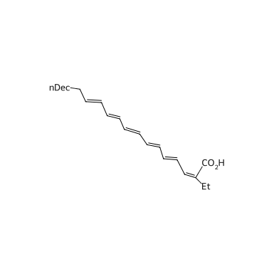 CCCCCCCCCCCC=CC=CC=CC=CC=CC=C(CC)C(=O)O